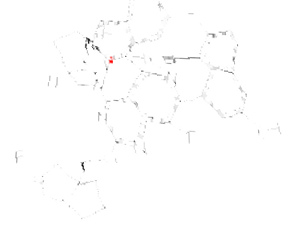 C#Cc1c(F)ccc2cc(O)cc(-c3nc(-c4cncc5ccccc45)c4c(N5C[C@H]6CC[C@@H](C5)N6)nc(OC[C@@]56CCCN5C[C@H](F)C6)nc4c3F)c12